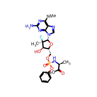 CNc1nc(N)nc2c1ncn2[C@@H]1O[C@H](CO[P@](=O)(N[C@@H](C)C(=O)OC)Oc2ccccc2)[C@@H](O)[C@@]1(C)F